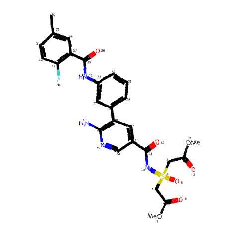 COC(=O)CS(=O)(CC(=O)OC)=NC(=O)c1cnc(N)c(-c2cccc(NC(=O)c3cc(C)ccc3F)c2)c1